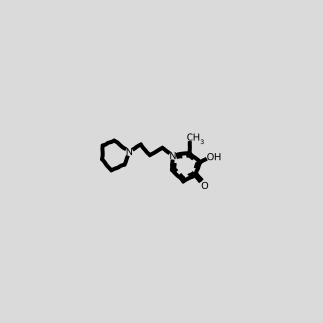 Cc1c(O)c(=O)ccn1CCCN1CCCCC1